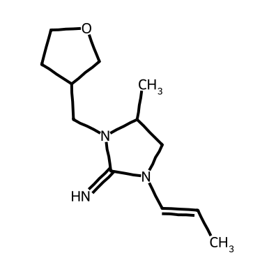 CC=CN1CC(C)N(CC2CCOC2)C1=N